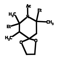 CCC1(C)CC2(OCCO2)C(C)C(C)(CC)N1C(C)=O